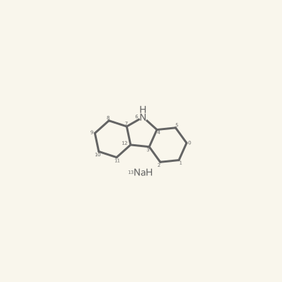 C1CCC2C(C1)NC1CCCCC12.[NaH]